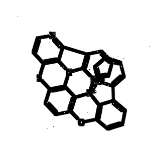 c1cc2c3c(c1)-c1cccc[n+]1[N+]31c3c(ccc4c3-n3c5c(ccnc5c5ccc[n+]1c53)S4)O2